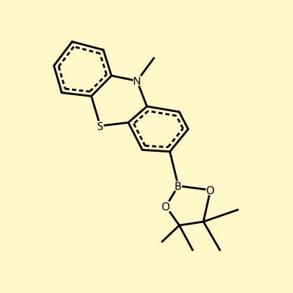 CN1c2ccccc2Sc2cc(B3OC(C)(C)C(C)(C)O3)ccc21